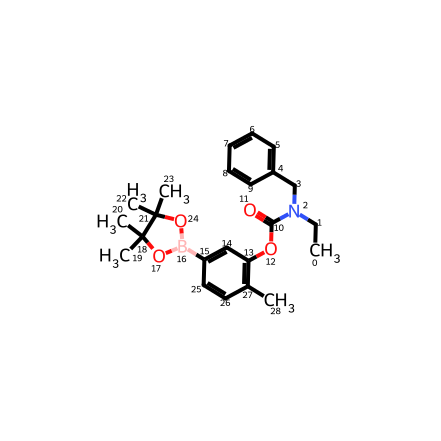 CCN(Cc1ccccc1)C(=O)Oc1cc(B2OC(C)(C)C(C)(C)O2)ccc1C